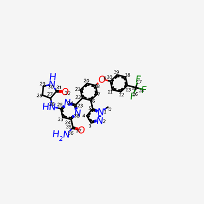 Cn1nccc1-c1cc(Oc2ccc(C(F)(F)F)cc2)ccc1-c1nc(NC2CCNC2=O)cc(C(N)=O)n1